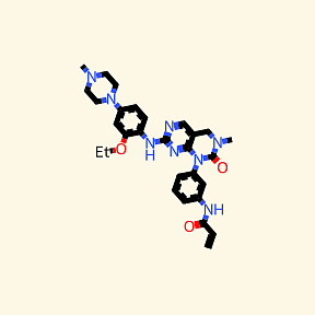 C=CC(=O)Nc1cccc(N2C(=O)N(C)Cc3cnc(Nc4ccc(N5CCN(C)CC5)cc4OCC)nc32)c1